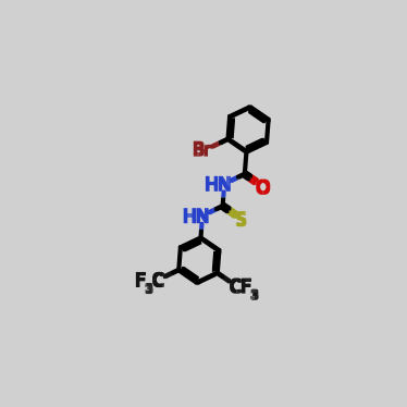 O=C(NC(=S)Nc1cc(C(F)(F)F)cc(C(F)(F)F)c1)c1ccccc1Br